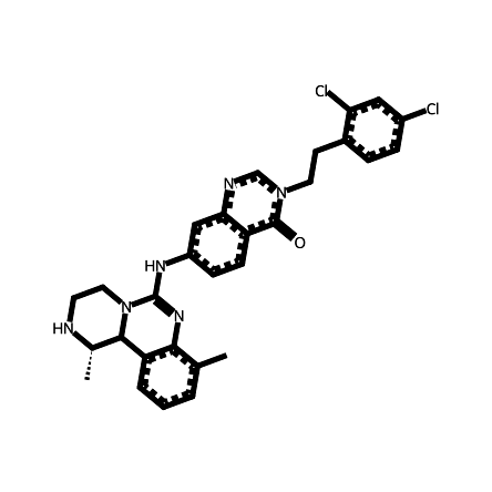 Cc1cccc2c1N=C(Nc1ccc3c(=O)n(CCc4ccc(Cl)cc4Cl)cnc3c1)N1CCN[C@@H](C)C21